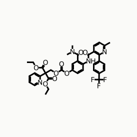 CCOC(=O)C(COC(=O)Oc1ccc(NC(=O)c2ccc(C)nc2-c2ccc(C(F)(F)F)cc2)c(C(=O)N(C)C)c1)(C(=O)OCC)c1ccccn1